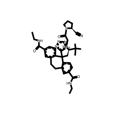 CCNC(=O)c1ccc2c(c1)CCc1cc(C(=O)NCC)ccc1C2(C[C@@H](NCC(=O)N1CCC[C@H]1C#N)C(C)(C)C)c1nnn[nH]1